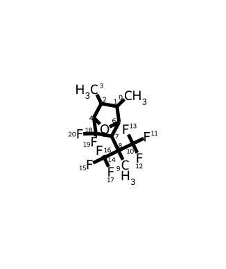 CC1C(C)C2OC1C(C(C)(C(F)(F)F)C(F)(F)F)C2(F)F